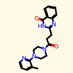 Cc1cccnc1N1CCN(C(=O)CCc2nc3ccccc3c(=O)[nH]2)CC1